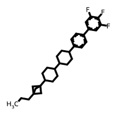 CCCC12CC(C3CCC(C4CCC(c5ccc(-c6cc(F)c(F)c(F)c6)cc5)CC4)CC3)(C1)C2